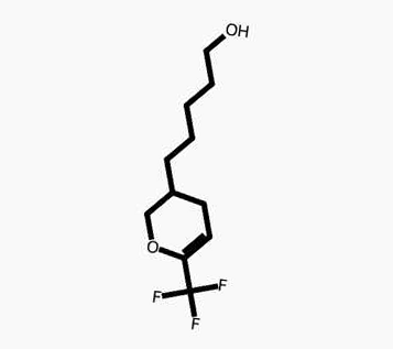 OCCCCCC1CC=C(C(F)(F)F)OC1